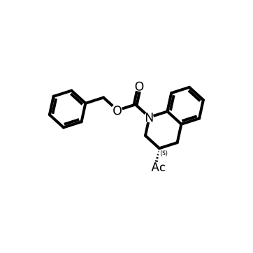 CC(=O)[C@H]1Cc2ccccc2N(C(=O)OCc2ccccc2)C1